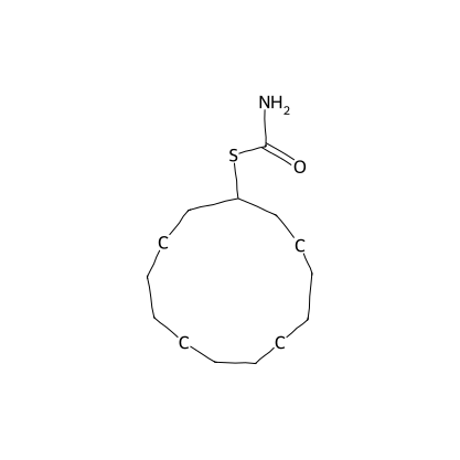 NC(=O)SC1CCCCCCCCCCCC1